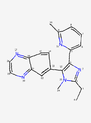 CCc1nc(-c2cccc(C)n2)c(-c2ccc3nccnc3c2)n1C